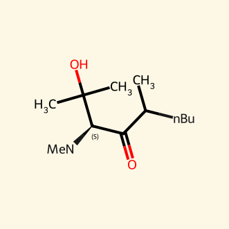 CCCCC(C)C(=O)[C@@H](NC)C(C)(C)O